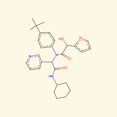 CC(C)(C)c1ccc(N(C(=O)C(O)c2ccco2)C(C(=O)NC2CCCCC2)c2cccnc2)cc1